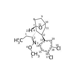 CCC(=NOC)[C@@H]1[C@@H]2CCC(C[C@H]1c1ccc(Cl)c(Cl)c1)O2